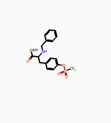 COC(=O)C(Cc1ccc(OS(=O)(=O)C(F)(F)F)cc1)NCc1ccccc1